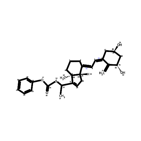 C=C1/C(=C\C=C2/CCC[C@]3(C)C(C(C)SC(=O)Oc4ccccc4)=CC[C@@H]23)C[C@@H](O)C[C@@H]1O